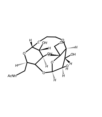 CC(=O)NC[C@H]1O[C@@H]2CCCO[C@H]3[C@H](O)[C@@H](O)[C@@H](OC1[C@H](O)[C@H]2O)O[C@@H]3CO